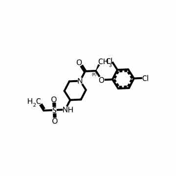 C=CS(=O)(=O)NC1CCN(C(=O)[C@@H](C)Oc2ccc(Cl)cc2Cl)CC1